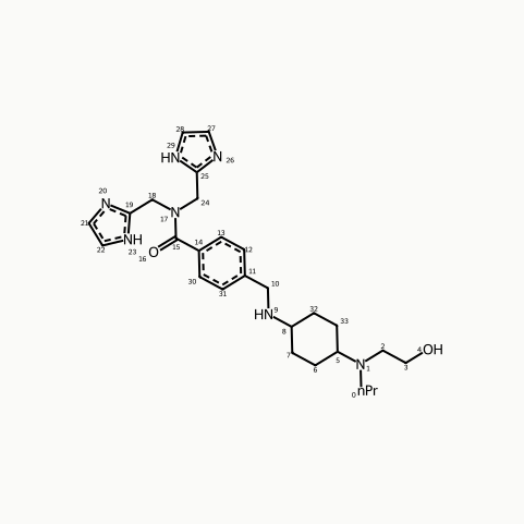 CCCN(CCO)C1CCC(NCc2ccc(C(=O)N(Cc3ncc[nH]3)Cc3ncc[nH]3)cc2)CC1